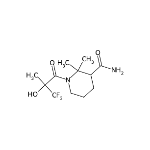 CC1(C)C(C(N)=O)CCCN1C(=O)C(C)(O)C(F)(F)F